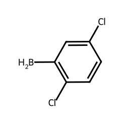 Bc1cc(Cl)ccc1Cl